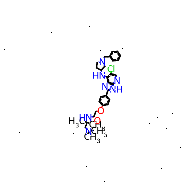 CN(C)CC(C)(C)NC(=O)COc1ccc(-c2nc3c(N[C@H]4CCN(Cc5ccccc5)C4)c(Cl)cnc3[nH]2)cc1